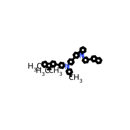 Cc1ccc(N(c2ccc(-c3ccc4c(c3)C(C)(C)c3cc(C)ccc3-4)cc2)c2ccc(-c3ccc4c5ccccc5n(-c5cccc(-c6ccc7ccccc7c6)c5)c4c3)cc2)cc1